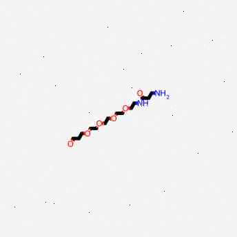 NCCC(=O)NCCOCCOCCOCCOCCC=O